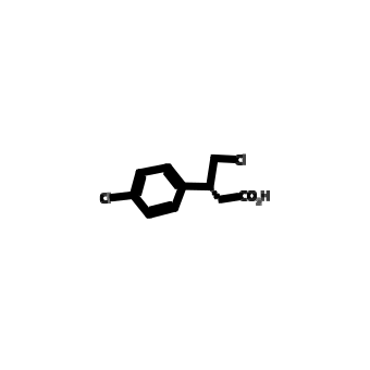 O=C(O)C[C@@H](CCl)c1ccc(Cl)cc1